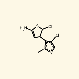 Cn1ncc(Cl)c1C1C=C(N)SC1Cl